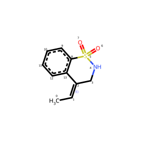 C/C=C1/CNS(=O)(=O)c2ccccc21